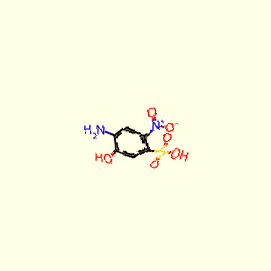 Nc1cc([N+](=O)[O-])c(S(=O)(=O)O)cc1O